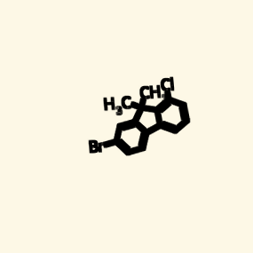 CC1(C)c2cc(Br)ccc2-c2cccc(Cl)c21